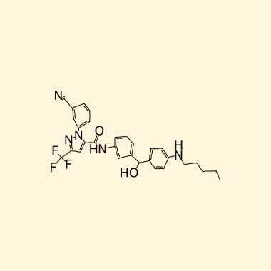 CCCCCNc1ccc(C(O)c2cccc(NC(=O)c3cc(C(F)(F)F)nn3-c3cccc(C#N)c3)c2)cc1